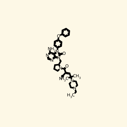 CCN1CCN(C(C)(C)C=C(C#N)C(=O)N2CCCC2Cn2c(=O)n(-c3ccc(Oc4ccccc4)cc3)c3c(N)ncnc32)CC1